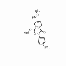 CCCCON[C@@H]1CC[C@@H](C(=O)Oc2ccc([N+](=O)[O-])cc2)N(C(=O)OC(C)(C)C)C1